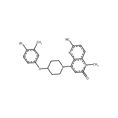 Cc1cc(OC2CCN(c3cc(=O)n(C)c4ccc(C#N)nc34)CC2)ccc1C(C)C